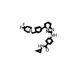 O=C(NC1CC1)c1ccc(Nc2nc3cccc(-c4ccc(CN5CCC(F)(F)CC5)cc4)n3n2)cc1